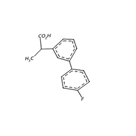 CC(C(=O)O)c1cccc(-c2ccc(F)cc2)c1